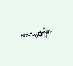 CC(C)NC(=O)c1ccc(OCCOCCO)cc1